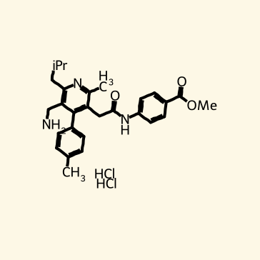 COC(=O)c1ccc(NC(=O)Cc2c(C)nc(CC(C)C)c(CN)c2-c2ccc(C)cc2)cc1.Cl.Cl